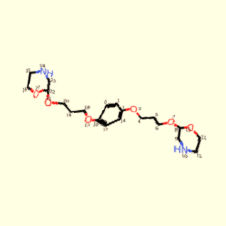 c1cc(OCCCOC2CNCCO2)ccc1OCCCOC1CNCCO1